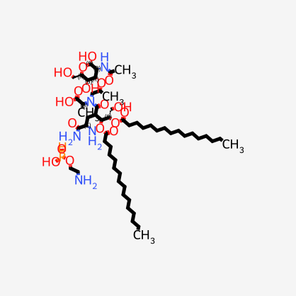 CCCCCCCCCCCCCCCC(=O)OC(C(C[C@H](N)C(N)=O)C(=O)N(CC(C)O[C@H]1[C@H](O)[C@@H](CO)O[C@H](O)[C@@H]1NC(C)=O)[C@@H](C)C(=O)O)[C@H](CO)OC(=O)CCCCCCCCCCCCCCC.NCCO[PH](=O)O